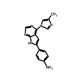 Cc1cn(-c2ncnc3[nH]c(-c4ccc(N)cc4)cc23)cn1